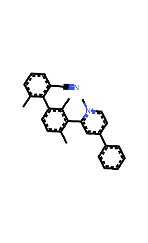 Cc1cccc(C#N)c1-c1ccc(C)c(-c2cc(-c3ccccc3)cc[n+]2C)c1C